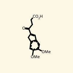 COc1cc2c(cc1OC)CC(C(=O)CCC(=O)O)=C2